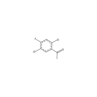 CC(=O)c1cc(Cl)c(F)cc1Cl